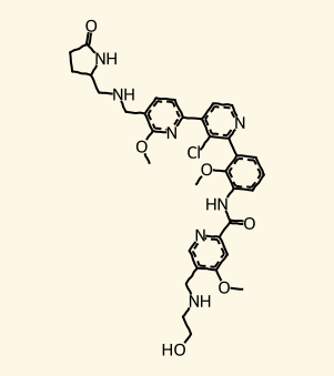 COc1cc(C(=O)Nc2cccc(-c3nccc(-c4ccc(CNCC5CCC(=O)N5)c(OC)n4)c3Cl)c2OC)ncc1CNCCO